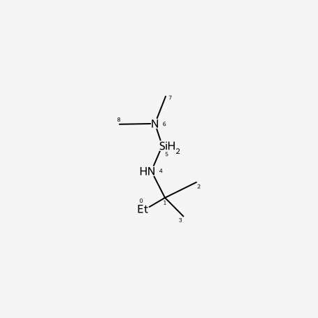 CCC(C)(C)N[SiH2]N(C)C